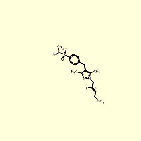 Cc1nn(C/C(F)=C/CN)c(C)c1Cc1ccc(S(=O)(=O)N(C)C(C)C)cc1